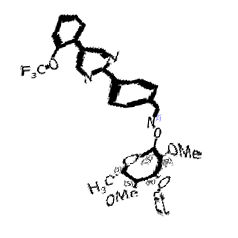 CCO[C@@H]1[C@@H](OC)[C@H](C)O[C@@H](O/N=C/c2ccc(-c3ncc(-c4ccccc4OC(F)(F)F)cn3)cc2)[C@@H]1OC